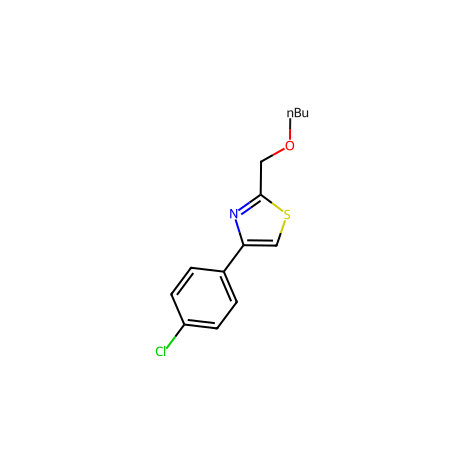 CCCCOCc1nc(-c2ccc(Cl)cc2)cs1